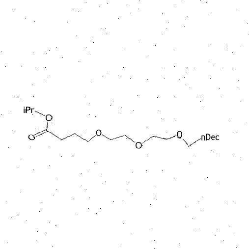 CCCCCCCCCCCOCCOCCOCCCC(=O)OC(C)C